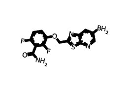 Bc1cnc2sc(COc3ccc(F)c(C(N)=O)c3F)nc2c1